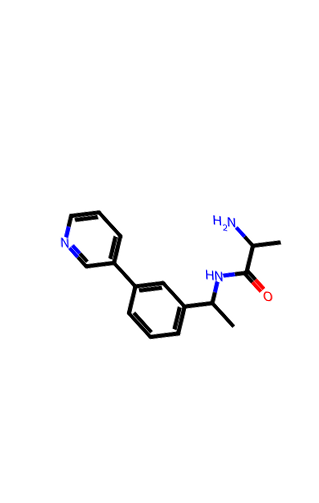 CC(N)C(=O)NC(C)c1cccc(-c2cccnc2)c1